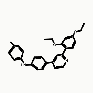 CCOc1ccc(-c2cc(-c3ccc(Nc4ccc(C)cc4)cc3)ccn2)c(OCC)c1